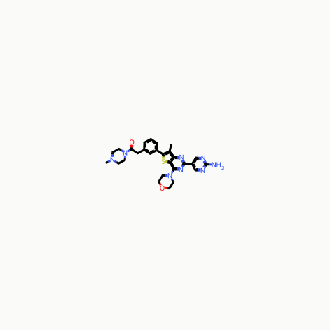 Cc1c(-c2cccc(CC(=O)N3CCN(C)CC3)c2)sc2c(N3CCOCC3)nc(-c3cnc(N)nc3)nc12